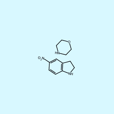 C1COCCN1.O=[N+]([O-])c1ccc2c(c1)CCN2